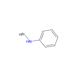 CC[C]Nc1ccccc1